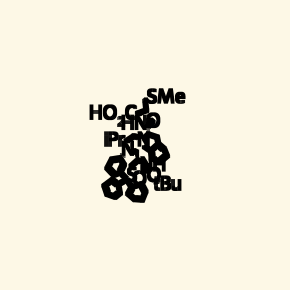 CSCC[C@H](NC(=O)[C@@H]1Cc2ccccc2CN1C[C@@H](C(C)C)N(C)C[C@H](CSC(c1ccccc1)(c1ccccc1)c1ccccc1)NC(=O)OC(C)(C)C)C(=O)O